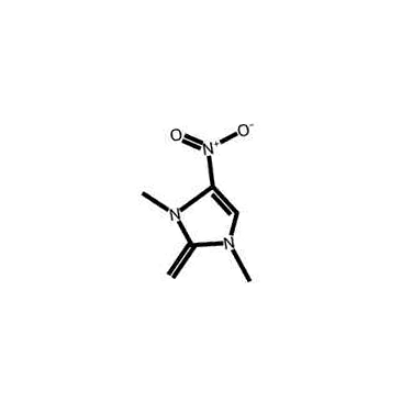 C=C1N(C)C=C([N+](=O)[O-])N1C